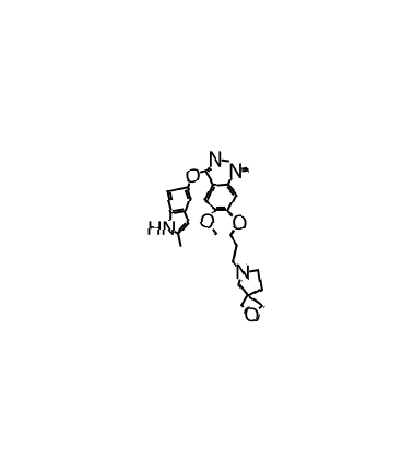 C=Nc1cc(OCCCN2CCC3(COC3)C2)c(OC)cc1/C(=N\C)Oc1ccc2[nH]c(C)cc2c1